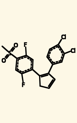 CS(=O)(=O)c1cc(F)c(C2=C(c3ccc(Cl)c(Cl)c3)C=CC2)cc1F